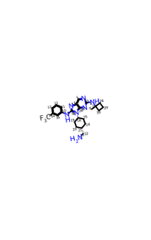 CC1(Nc2ncc3nc(Nc4cccc(C(F)(F)F)c4)n([C@H]4CC[C@@H](CN)CC4)c3n2)CCC1